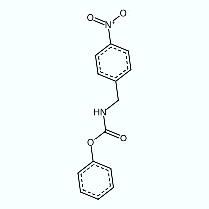 O=C(NCc1ccc([N+](=O)[O-])cc1)Oc1ccccc1